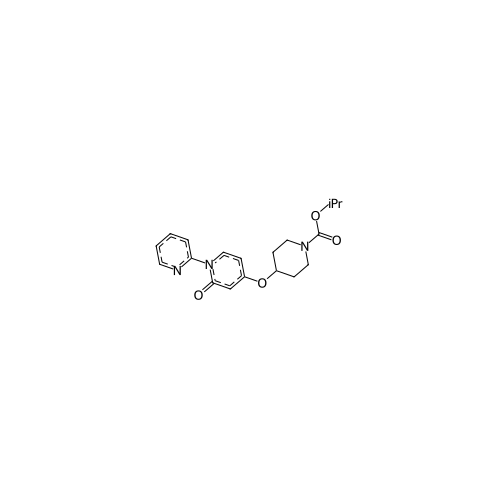 CC(C)OC(=O)N1CCC(Oc2ccn(-c3ccccn3)c(=O)c2)CC1